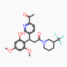 COc1cc(O)c(C(CC(=O)N2CCCC(C(F)(F)F)C2)c2ccc(C(C)=O)nc2)c(OC)c1